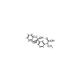 CC(C(=O)O)c1cccc(P(=O)(O)Cc2ccccc2O)c1